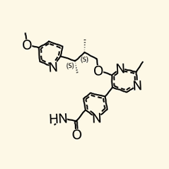 CNC(=O)c1ccc(-c2cnc(C)nc2OC[C@@H](C)[C@H](C)c2ccc(OC)cn2)cn1